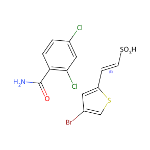 NC(=O)c1ccc(Cl)cc1Cl.O=S(=O)(O)/C=C/c1cc(Br)cs1